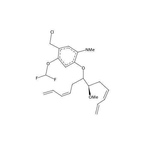 C=C/C=C\CC(Oc1cc(OC(F)F)c(CCl)cc1NC)[C@@H](C/C=C\C=C)OC